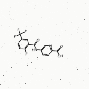 O=C(O)c1ccc(NC(=O)c2cc(C(F)(F)F)ccc2F)cn1